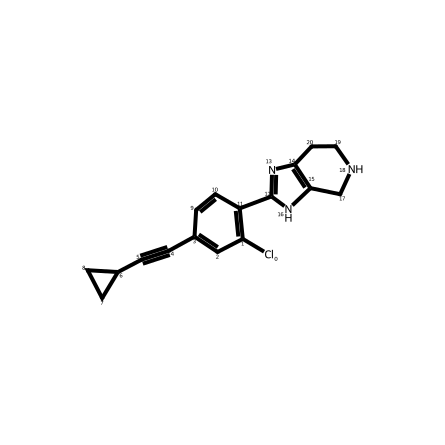 Clc1cc(C#CC2CC2)ccc1-c1nc2c([nH]1)CNCC2